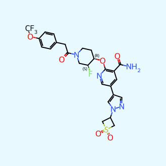 NC(=O)c1cc(-c2cnn(C3CS(=O)(=O)C3)c2)cnc1O[C@@H]1CCN(C(=O)Cc2ccc(OC(F)(F)F)cc2)C[C@@H]1F